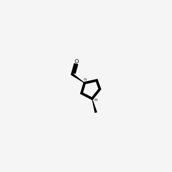 C[C@@H]1CC[C@H](C=O)C1